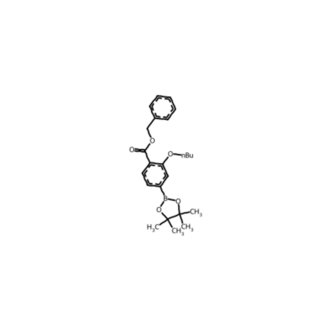 CCCCOc1cc(B2OC(C)(C)C(C)(C)O2)ccc1C(=O)OCc1ccccc1